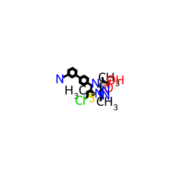 Cc1c(Cl)sc2c1C(c1ccc(-c3cccc(C#N)c3)cc1)=N[C@@H](C(C)C(=O)O)c1nnc(C)n1-2